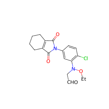 CCON(CC=O)c1cc(N2C(=O)C3=C(CCCC3)C2=O)ccc1Cl